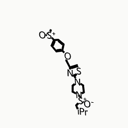 CC(C)C[S+]([O-])N1CCN(c2nc(COc3ccc([S+](C)[O-])cc3)cs2)CC1